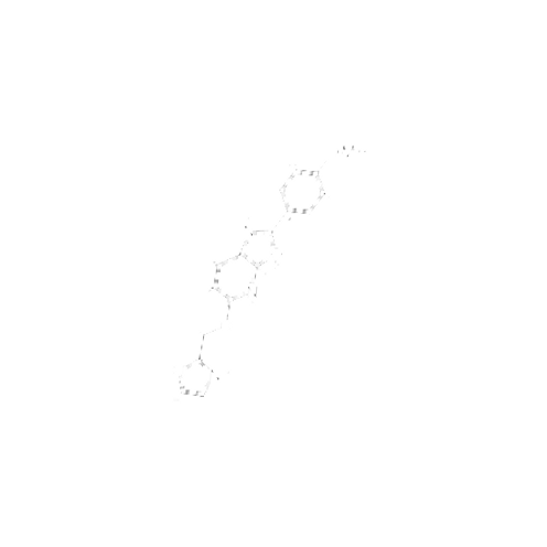 COc1ccc(-c2nc3ccc(OCc4ncco4)nc3o2)cc1